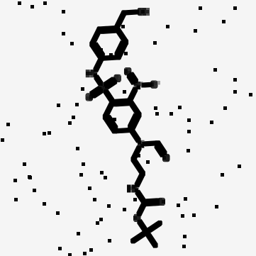 CC(C)(C)OC(=O)NCCN(C=O)c1ccc(S(=O)(=O)Nc2ccc(CO)cc2)c([N+](=O)[O-])c1